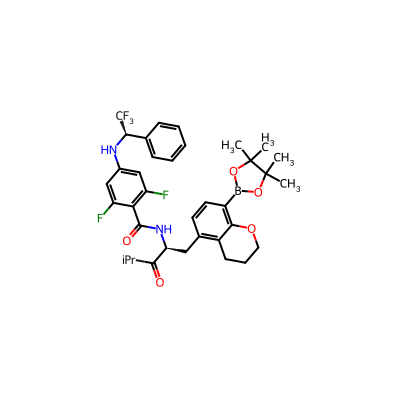 CC(C)C(=O)[C@H](Cc1ccc(B2OC(C)(C)C(C)(C)O2)c2c1CCCO2)NC(=O)c1c(F)cc(N[C@H](c2ccccc2)C(F)(F)F)cc1F